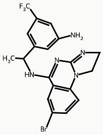 CC(NC1=NC2=NCCN2c2ccc(Br)cc21)c1cc(N)cc(C(F)(F)F)c1